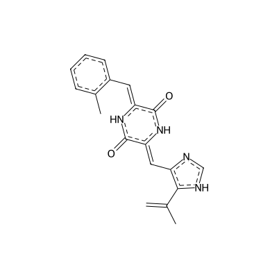 C=C(C)c1[nH]cnc1/C=c1\[nH]c(=O)/c(=C/c2ccccc2C)[nH]c1=O